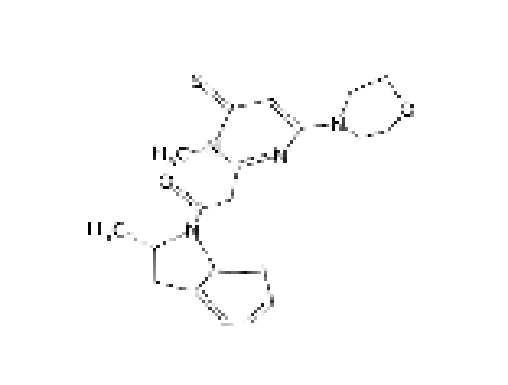 C[C@H]1Cc2ccccc2N1C(=O)Cc1nc(N2CCOCC2)cc(=S)n1C